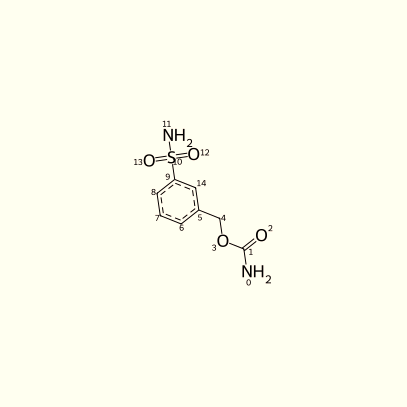 NC(=O)OCc1cccc(S(N)(=O)=O)c1